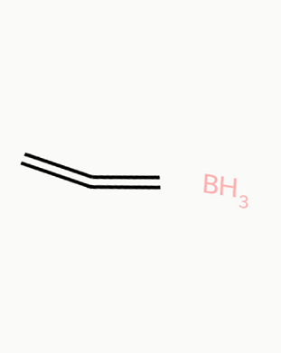 B.C=C=C